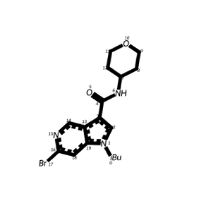 CCC(C)n1cc(C(=O)NC2CCOCC2)c2cnc(Br)cc21